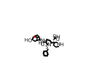 O=C(O)C[C@@]1(c2ccc(C(=O)N[C@H]3C4CC5CC3C[C@@](O)(C5)C4)c(SCc3ccccc3)n2)CCCNC1